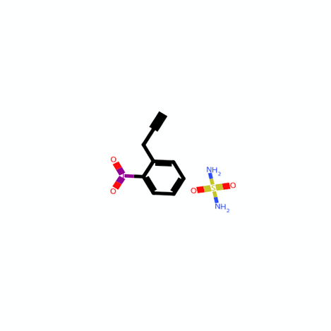 C#CCc1ccccc1I(=O)=O.NS(N)(=O)=O